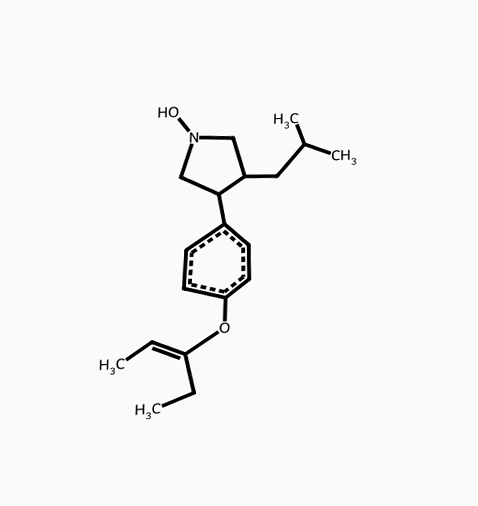 CC=C(CC)Oc1ccc(C2CN(O)CC2CC(C)C)cc1